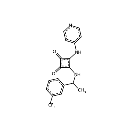 CC(Nc1c(Nc2ccncc2)c(=O)c1=O)c1cccc(C(F)(F)F)c1